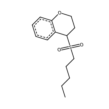 CCCCCS(=O)(=O)C1CCOc2ccccc21